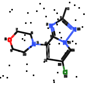 Cc1nc2c(N3CCOCC3)cc(Cl)cn2n1